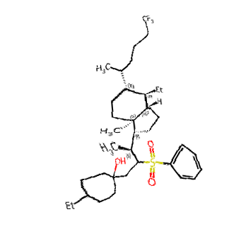 CCC1CCC(O)(CC([C@@H](C)[C@H]2CC[C@H]3[C@H](CC)[C@@H](C(C)CCCC(F)(F)F)CC[C@]23C)S(=O)(=O)c2ccccc2)CC1